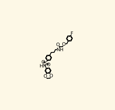 O=C(COCc1ccc(F)cc1)NCCCc1ccc(S(=O)(=O)Nc2ccc3c(c2)OCCO3)cc1